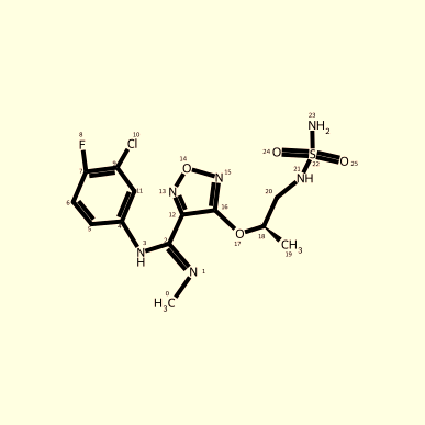 C/N=C(\Nc1ccc(F)c(Cl)c1)c1nonc1O[C@H](C)CNS(N)(=O)=O